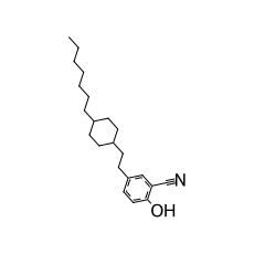 CCCCCCCC1CCC(CCc2ccc(O)c(C#N)c2)CC1